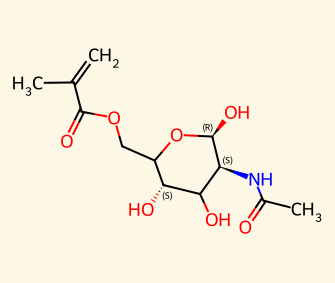 C=C(C)C(=O)OCC1O[C@@H](O)[C@@H](NC(C)=O)C(O)[C@@H]1O